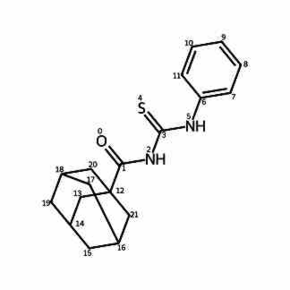 O=C(NC(=S)Nc1ccccc1)C12CC3CC(CC(C3)C1)C2